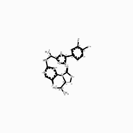 C[C@H](Nc1ncc(F)c(N2C(=O)OC[C@@H]2[C@@H](C)O)n1)c1nc(-c2ccc(F)c(F)c2)no1